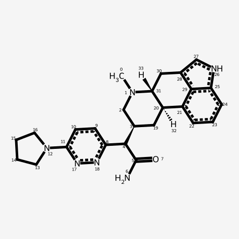 CN1C[C@H](C(C(N)=O)c2ccc(N3CCCC3)nn2)C[C@@H]2c3cccc4[nH]cc(c34)C[C@H]21